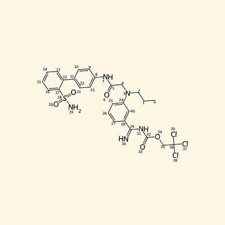 CCCN(CC(=O)Nc1ccc(-c2ccccc2S(N)(=O)=O)cc1)c1cccc(C(=N)NC(=O)OCC(Cl)(Cl)Cl)c1